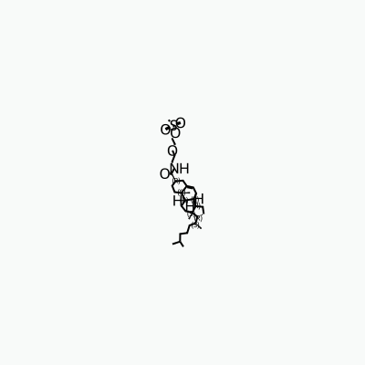 CC(C)CCC[C@H](C)[C@H]1CC[C@@H]2[C@H]3CC=C4C[C@H](C(=O)NCCOCCOS(C)(=O)=O)CC[C@@]4(C)[C@@H]3CC[C@]21C